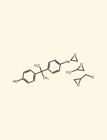 C1CO1.CC(C)(c1ccc(O)cc1)c1ccc(O)cc1.CC1CO1.ClCC1CO1